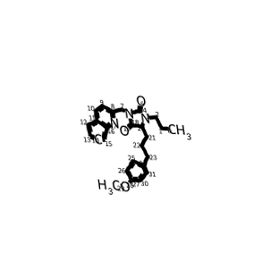 CCCN1C(=O)N(Cc2ccc3ccccc3n2)C(=O)C1CCCc1ccc(OC)cc1